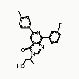 Cc1ccc(-c2cc3c(=O)n(C(C)CO)cnc3c(-c3cccc(F)c3)n2)cc1